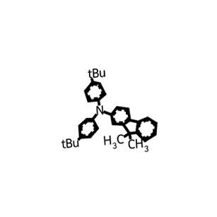 CC(C)(C)c1ccc(N(c2ccc(C(C)(C)C)cc2)c2ccc3c(c2)C(C)(C)c2ccccc2-3)cc1